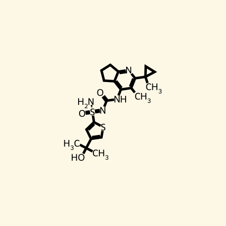 Cc1c(C2(C)CC2)nc2c(c1NC(=O)N=[S@](N)(=O)c1cc(C(C)(C)O)cs1)CCC2